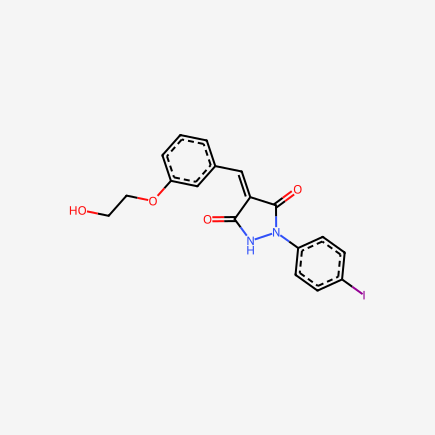 O=C1NN(c2ccc(I)cc2)C(=O)/C1=C/c1cccc(OCCO)c1